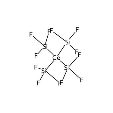 F[Si](F)(F)[Ge]([Si](F)(F)F)([Si](F)(F)F)[Si](F)(F)F